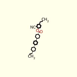 C=CCc1ccc(OC(=O)[C@H]2CC[C@H](c3ccc([C@H]4CC[C@H](CC=C)CC4)cc3)CC2)c(C#N)c1